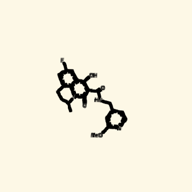 COc1cc(CNC(=O)c2c(O)c3cc(F)cc4c3n(c2=O)C(C)CC4)ccn1